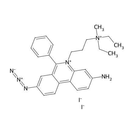 CC[N+](C)(CC)CCC[n+]1c(-c2ccccc2)c2cc(N=[N+]=[N-])ccc2c2ccc(N)cc21.[I-].[I-]